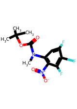 CN(C(=O)OC(C)(C)C)c1cc(F)c(F)c(F)c1[N+](=O)[O-]